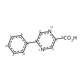 O=C(O)c1cnc(-c2ccccc2)cn1